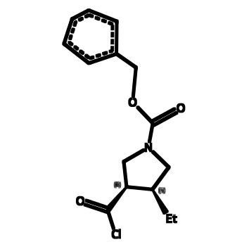 CC[C@@H]1CN(C(=O)OCc2ccccc2)C[C@@H]1C(=O)Cl